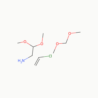 C=CCl.COC(CN)OC.COCOC